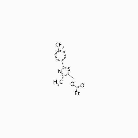 CCC(=O)OCc1sc(-c2ccc(C(F)(F)F)cc2)nc1C